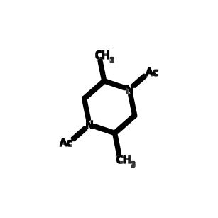 CC(=O)N1CC(C)N(C(C)=O)CC1C